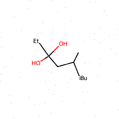 CCC(C)C(C)CC(O)(O)CC